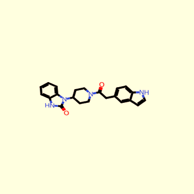 O=C(Cc1ccc2[nH]ccc2c1)N1CCC(n2c(=O)[nH]c3ccccc32)CC1